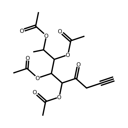 C#CCC(=O)C(OC(C)=O)C(OC(C)=O)C(OC(C)=O)C(C)OC(C)=O